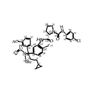 CC(C)(C)N([SH]=O)[C@](CCC1CC1)(c1cccc(C#N)c1)c1ccc(F)c(NC(=O)[C@@H]2CCCN2C(=O)Nc2ccc(Cl)cc2)c1